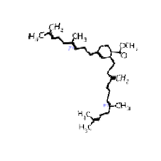 C=C(CC/C=C(\C)CCC=C(C)C)CCC1C=C(CC/C=C(\C)CCC=C(C)C)CCC1C(=O)OC